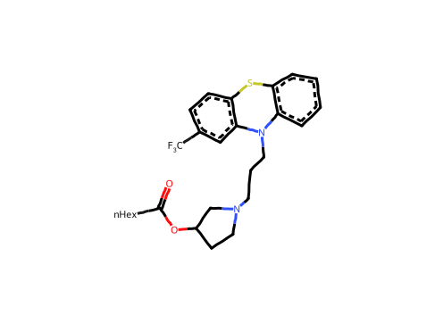 CCCCCCC(=O)OC1CCN(CCCN2c3ccccc3Sc3ccc(C(F)(F)F)cc32)C1